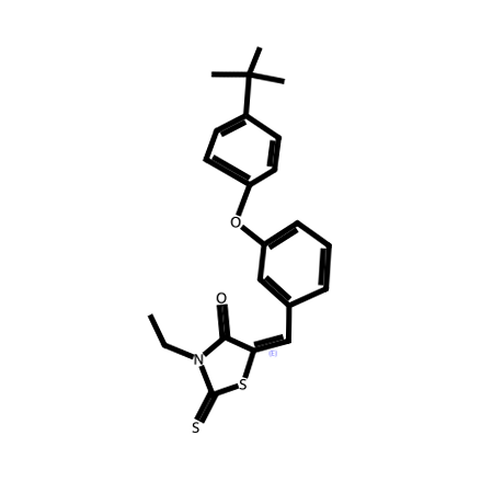 CCN1C(=O)/C(=C\c2cccc(Oc3ccc(C(C)(C)C)cc3)c2)SC1=S